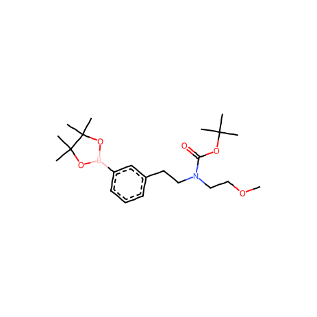 COCCN(CCc1cccc(B2OC(C)(C)C(C)(C)O2)c1)C(=O)OC(C)(C)C